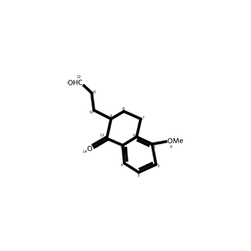 COc1cccc2c1CCC(CC[C]=O)C2=O